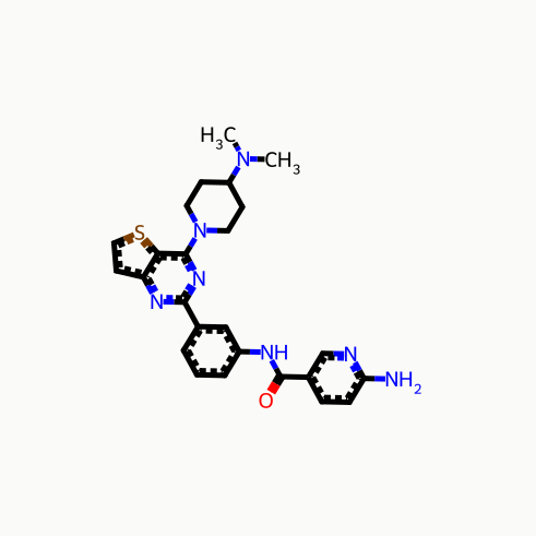 CN(C)C1CCN(c2nc(-c3cccc(NC(=O)c4ccc(N)nc4)c3)nc3ccsc23)CC1